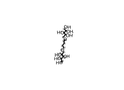 OCC(O)C(O)C(O)COCCCCOCC(O)C(O)C(O)CO